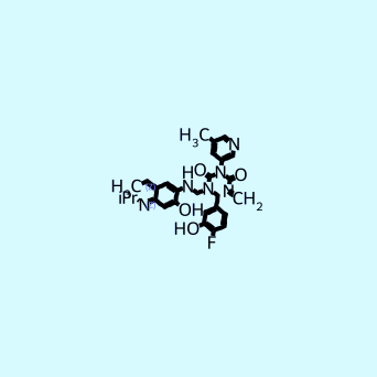 C=NC(=O)N(C(=O)N(CNC1=CC(=C/C)/C(=N\C(C)C)C=C1O)Cc1ccc(F)c(O)c1)c1cncc(C)c1